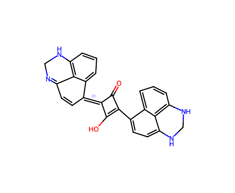 O=C1C(c2ccc3c4c(cccc24)NCN3)=C(O)/C1=c1\ccc2c3c(cccc13)NCN=2